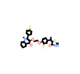 C=c1[nH]c(=O)/c(=C(/C)c2ccc(OCCOc3c(-c4ccc(F)cc4)n(C)c4ccccc4c3=O)c(F)c2)s1